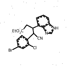 CCOC(=O)CC(c1cccc2[nH]cnc12)C(C#N)c1ccc(Br)cc1Cl